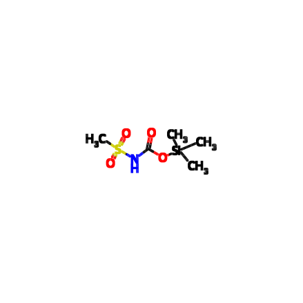 C[Si](C)(C)OC(=O)NS(C)(=O)=O